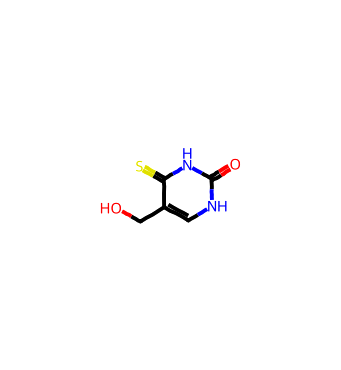 O=c1[nH]cc(CO)c(=S)[nH]1